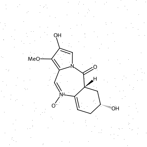 COc1c(O)cn2c1C=[N+]([O-])C1=CC[C@@H](O)C[C@H]1C2=O